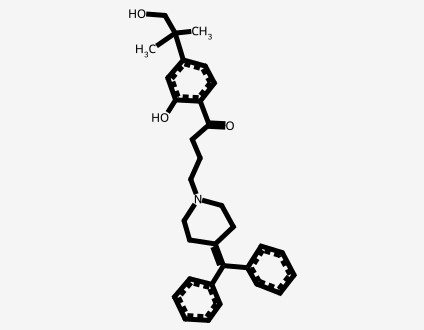 CC(C)(CO)c1ccc(C(=O)CCCN2CCC(=C(c3ccccc3)c3ccccc3)CC2)c(O)c1